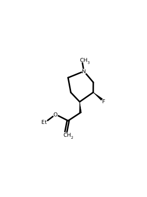 C=C(C[C@H]1CCN(C)C[C@H]1F)OCC